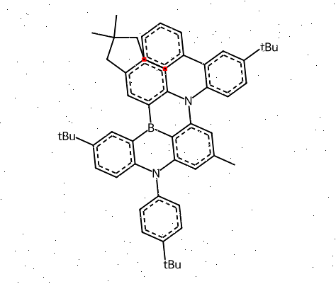 Cc1cc2c3c(c1)N(c1ccc(C(C)(C)C)cc1-c1ccccc1)c1cc4c(cc1B3c1cc(C(C)(C)C)ccc1N2c1ccc(C(C)(C)C)cc1)CC(C)(C)C4